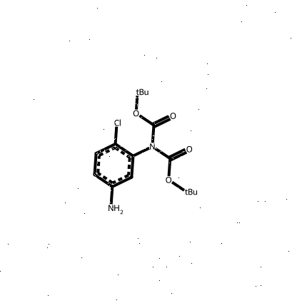 CC(C)(C)OC(=O)N(C(=O)OC(C)(C)C)c1cc(N)ccc1Cl